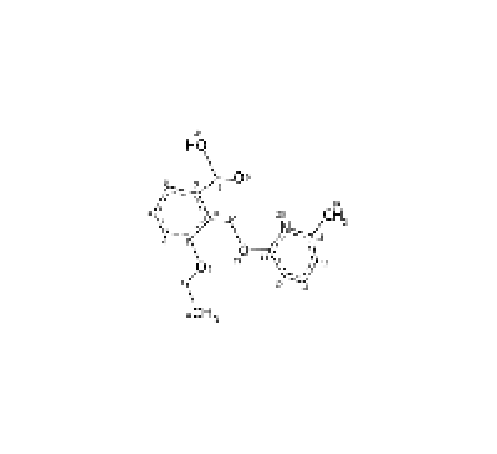 CCOc1cccc(C(=O)O)c1COc1cccc(C)n1